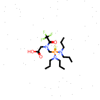 CCCN(CCC)P(=S)(CN(CC(=O)O)C(=O)C(F)(F)F)N(CCC)CCC